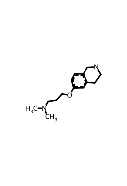 CN(C)CCCOc1ccc2c(c1)CC[N]C2